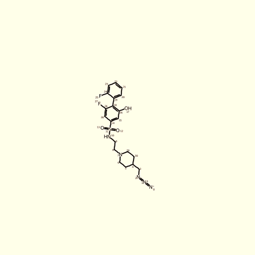 [N-]=[N+]=NCC1CCN(CCNS(=O)(=O)c2cc(O)c(-c3ccccc3F)c(F)c2)CC1